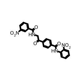 O=C(CNC(=O)c1cccc([N+](=O)[O-])c1)c1ccc(C(=O)Nc2ccccc2[N+](=O)[O-])cc1